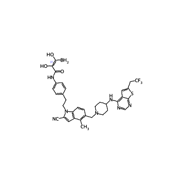 B/C(O)=C(/O)C(=O)Nc1ccc(CCn2c(C#N)cc3c(C)c(CN4CCC(Nc5ncnc6sc(CC(F)(F)F)cc56)CC4)ccc32)cc1